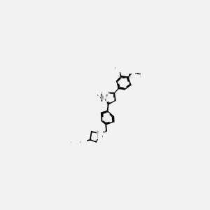 CC(C)Oc1ccc(C2CC(c3ccc(CN4CC(C(=O)[O-])C4)cc3)=NO2)cc1Cl.[Na+]